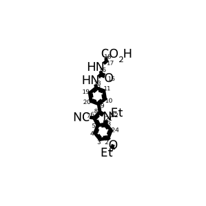 CCOc1ccc2c(C#N)c(-c3ccc(NC(=O)NCC(=O)O)cc3)n(CC)c2c1